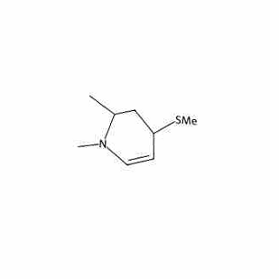 CSC1C=CN(C)C(C)C1